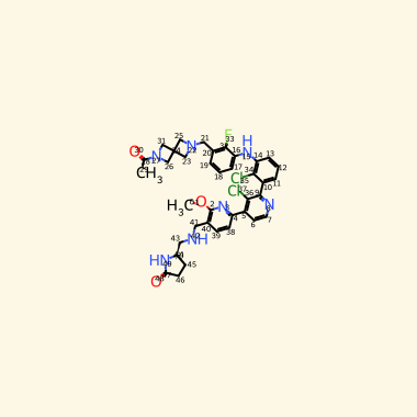 COc1nc(-c2ccnc(-c3cccc(Nc4cccc(CN5CC6(C5)CN(C(C)=O)C6)c4F)c3Cl)c2Cl)ccc1CNC[C@H]1CCC(=O)N1